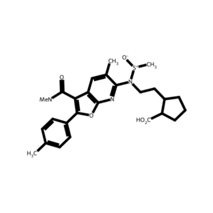 CNC(=O)c1c(-c2ccc(C)cc2)oc2nc(N(CCC3CCCC3C(=O)O)[S+](C)[O-])c(C)cc12